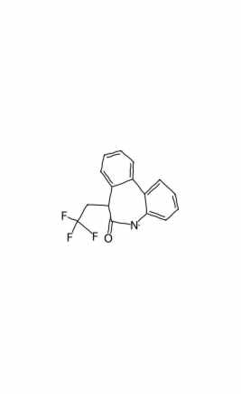 O=C1[N]c2ccccc2-c2ccccc2C1CC(F)(F)F